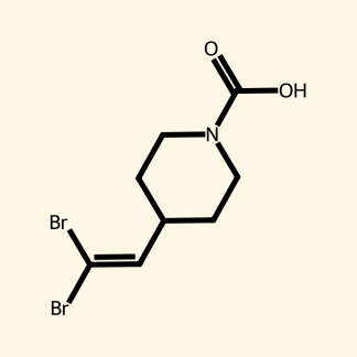 O=C(O)N1CCC(C=C(Br)Br)CC1